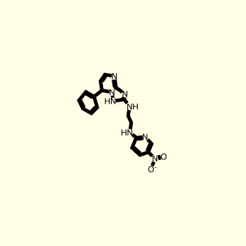 O=[N+]([O-])c1ccc(NCCNC2=NC3=NC=CC(c4ccccc4)N3N2)nc1